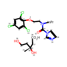 CCCN(CCOc1c(Cl)cc(Cl)cc1Cl)C(=O)n1ccnc1.C[C@@](O)(CCO)CC(=O)O